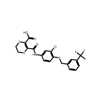 O=C(O)C1=C(C(=O)Nc2ccc(OCc3cccc(C(F)(F)F)c3)c(Cl)c2)SCCS1